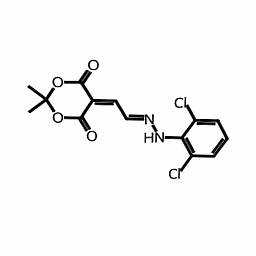 CC1(C)OC(=O)C(=CC=NNc2c(Cl)cccc2Cl)C(=O)O1